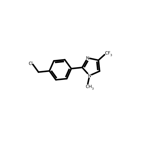 Cn1cc(C(F)(F)F)nc1-c1ccc(CCl)cc1